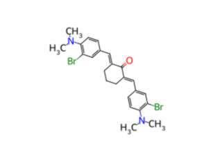 CN(C)c1ccc(C=C2CCCC(=Cc3ccc(N(C)C)c(Br)c3)C2=O)cc1Br